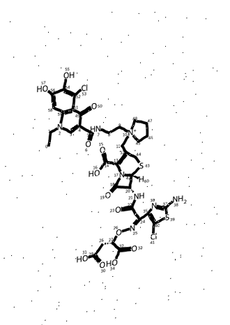 CCn1cc(C(=O)NCC[N+]2(CC3=C(C(=O)O)N4C(=O)[C@@H](NC(=O)/C(=N\O[C@@H](CC(=O)O)C(=O)O)c5nc(N)sc5Cl)[C@H]4SC3)CCCC2)c(=O)c2c(Cl)c(O)c(O)cc21